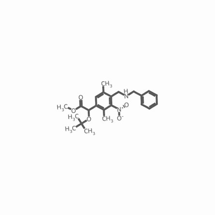 COC(=O)C(OC(C)(C)C)c1cc(C)c(CNCc2ccccc2)c([N+](=O)[O-])c1C